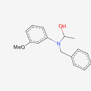 COc1cccc(N(Cc2ccccc2)C(C)O)c1